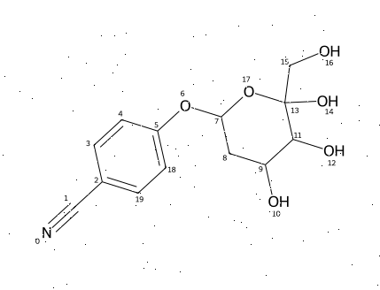 N#Cc1ccc(OC2CC(O)C(O)C(O)(CO)O2)cc1